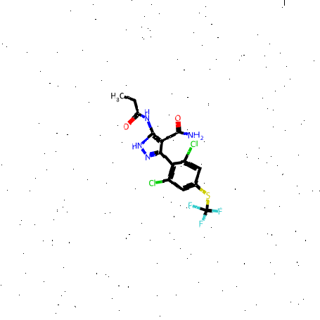 CCC(=O)Nc1[nH]nc(-c2c(Cl)cc(SC(F)(F)F)cc2Cl)c1C(N)=O